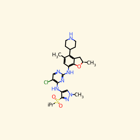 Cc1cc(Nc2ncc(Cl)c(Nc3cn(C)nc3S(=O)(=O)C(C)C)n2)c2c(c1C1CCNCC1)C[C@@H](C)O2